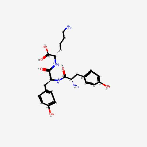 NCCCC[C@H](NC(=O)[C@H](Cc1ccc(O)cc1)NC(=O)[C@@H](N)Cc1ccc(O)cc1)C(=O)O